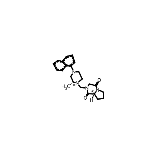 C[C@@H]1CN(c2cccc3ccccc23)CCN1CN1CC(=O)N2CCC[C@@H]2C1=O